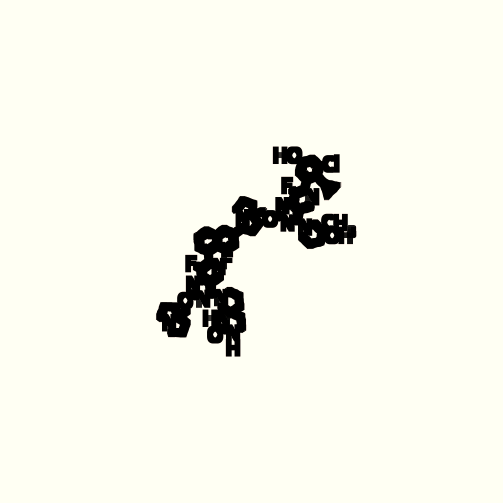 CC1(O)CCCN(c2nc(OCC34CCCN3C(c3cc(F)c5c(-c6ncc7c(N8CCCC9(CCNC(=O)N9)C8)nc(OCC89CCCN8CCC9)nc7c6F)cccc5c3)CC4)nc3c(F)c(-c4cc(O)cc(Cl)c4C4CC4)ncc23)C1